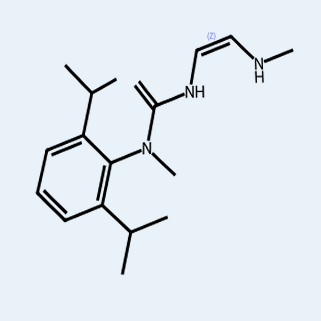 C=C(N/C=C\NC)N(C)c1c(C(C)C)cccc1C(C)C